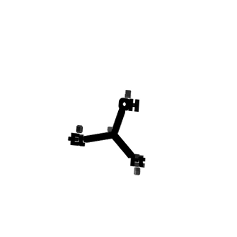 C[CH]C(O)CC